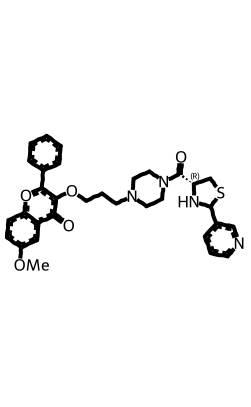 COc1ccc2oc(-c3ccccc3)c(OCCCN3CCN(C(=O)[C@@H]4CSC(c5cccnc5)N4)CC3)c(=O)c2c1